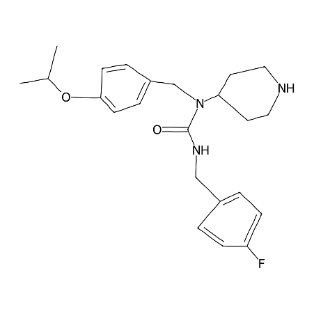 CC(C)Oc1ccc(CN(C(=O)NCc2ccc(F)cc2)C2CCNCC2)cc1